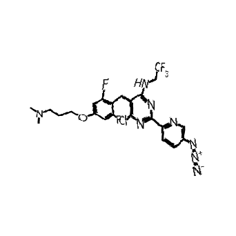 CN(C)CCCOc1cc(F)c(Cc2c(Cl)nc(-c3ccc(N=[N+]=[N-])cn3)nc2NCC(F)(F)F)c(F)c1